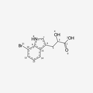 O=C(O)C(O)Cc1c[nH]c2c(Br)cccc12